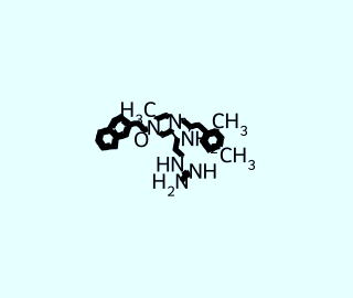 Cc1ccc(C[C@H](N)CN2C[C@@H](C)N(C(=O)Cc3ccc4ccccc4c3)C[C@@H]2CCCNC(=N)N)c(C)c1